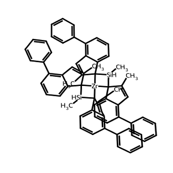 CC1=Cc2c(-c3ccccc3)cccc2[C]12[SiH](C)[C]1(C(C)=Cc3c(-c4ccccc4)cccc31)[Zr]21[C]2(C(C)=Cc3c(-c4ccccc4)cccc32)[SiH](C)[C]12C(C)=Cc1c(-c3ccccc3)cccc12